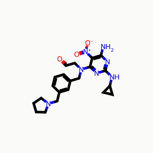 Nc1nc(NC2CC2)nc(N(CC=O)Cc2cccc(CN3CCCC3)c2)c1[N+](=O)[O-]